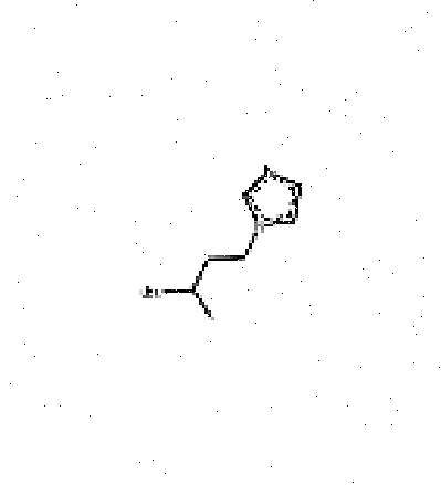 CC(CCn1ccnc1)C(C)(C)C